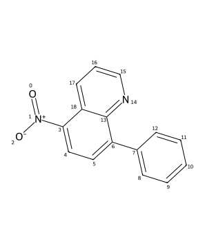 O=[N+]([O-])c1ccc(-c2ccccc2)c2ncccc12